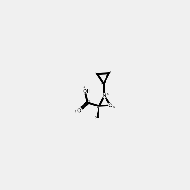 C[C@]1(C(=O)O)ON1C1CC1